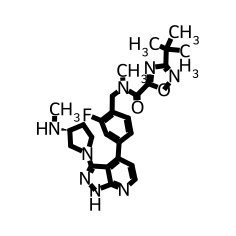 CN[C@@H]1CCN(c2n[nH]c3nccc(-c4ccc(CN(C)C(=O)c5nc(C(C)(C)C)no5)c(F)c4)c23)C1